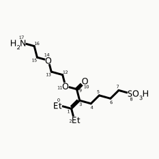 CCC(CC)=C(CCCCS(=O)(=O)O)C(=O)OCCOCCN